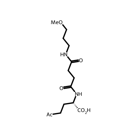 COCCCNC(=O)CCC(=O)N[C@@H](CCC(C)=O)C(=O)O